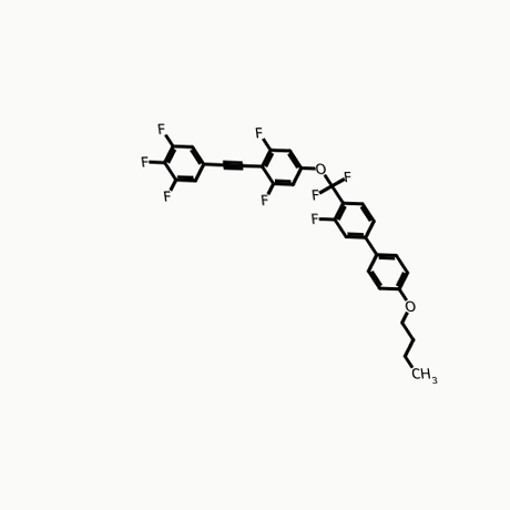 CCCCOc1ccc(-c2ccc(C(F)(F)Oc3cc(F)c(C#Cc4cc(F)c(F)c(F)c4)c(F)c3)c(F)c2)cc1